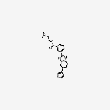 CN(C)CCOC(=O)c1cccc(-c2nc3cc(-c4ccoc4)ccc3[nH]2)c1